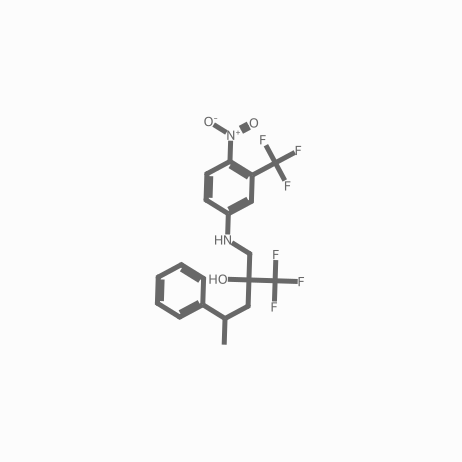 CC(CC(O)(CNc1ccc([N+](=O)[O-])c(C(F)(F)F)c1)C(F)(F)F)c1ccccc1